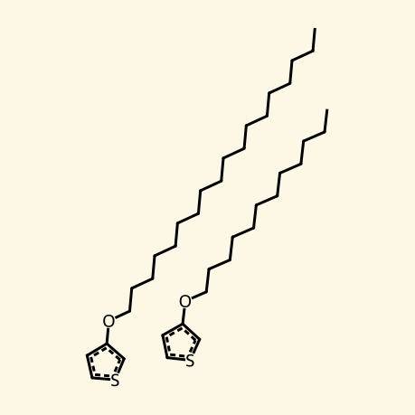 CCCCCCCCCCCCCCCCCCOc1ccsc1.CCCCCCCCCCCCOc1ccsc1